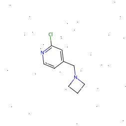 Clc1cc(CN2CCC2)ccn1